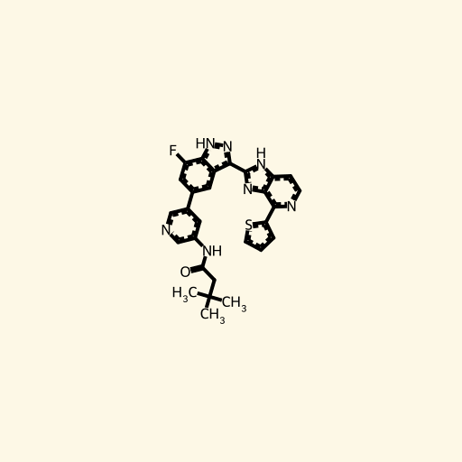 CC(C)(C)CC(=O)Nc1cncc(-c2cc(F)c3[nH]nc(-c4nc5c(-c6cccs6)nccc5[nH]4)c3c2)c1